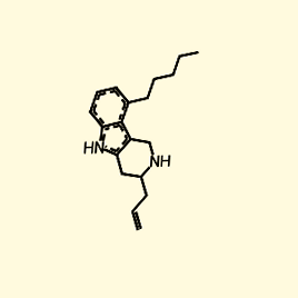 C=CCC1Cc2[nH]c3cccc(CCCCC)c3c2CN1